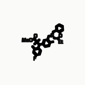 CCC1CN(Cc2cc(C(c3ccc(F)cc3C)C(C)(C)C(=O)OC)ccc2C)Cc2ccccc2O1